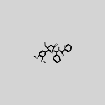 CCC1CC(=O)N(C(NC(=O)c2ccccn2)c2ccccc2)N=C1c1ccc(OC)c(OC)c1